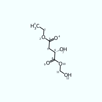 CCOC(=O)C[C@H](O)C(=O)OCO